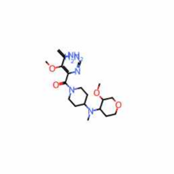 C=C(N)/C(OC)=C(\N=C/N)C(=O)N1CCC(N(C)C2CCOCC2OC)CC1